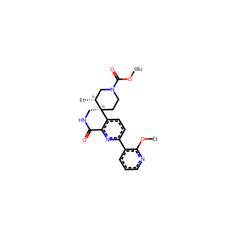 CCOc1ncccc1-c1ccc2c(n1)C(=O)NC[C@]21CCN(C(=O)OC(C)(C)C)C[C@H]1CC